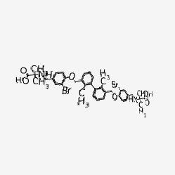 Cc1c(COc2ccc(CNC(C)(C)C(=O)O)cc2Br)cccc1-c1cccc(COc2ccc(CNC(C)(C)C(=O)O)cc2Br)c1C